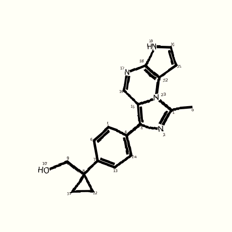 Cc1nc(-c2ccc(C3(CO)CC3)cc2)c2cnc3[nH]ccc3n12